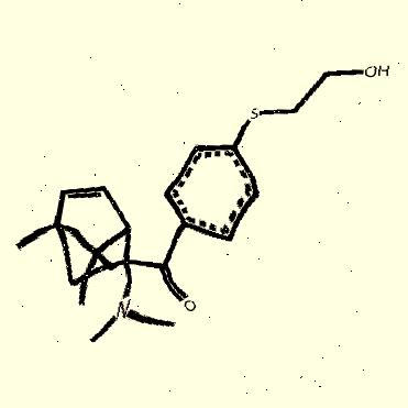 CN(C)C1(C(=O)c2ccc(SCCO)cc2)CC2(C)C=CC1C2(C)C